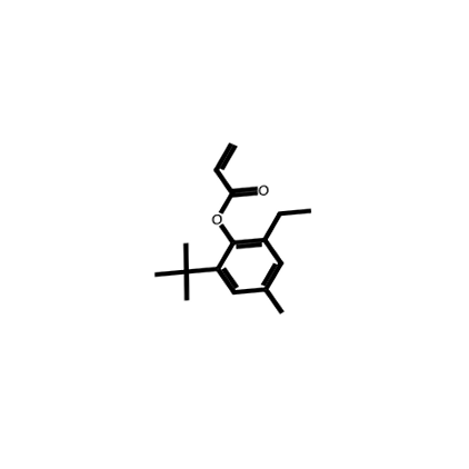 C=CC(=O)Oc1c(CC)cc(C)cc1C(C)(C)C